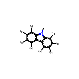 [2H]c1c([2H])c([2H])c2c(c1[2H])c1c([2H])c([2H])c([2H])c([2H])c1n2C